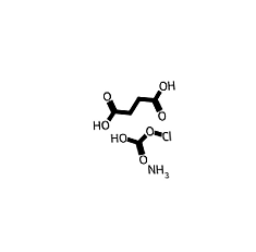 N.O=C(O)CCC(=O)O.O=C(O)OCl